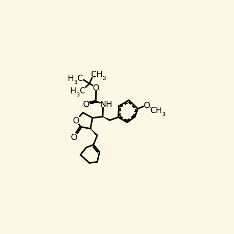 COc1ccc(C[C@H](NC(=O)OC(C)(C)C)C2COC(=O)[C@@H]2CC2=CCCCC2)cc1